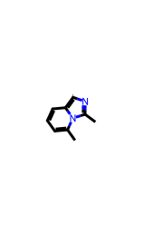 Cc1cccc2[c]nc(C)n12